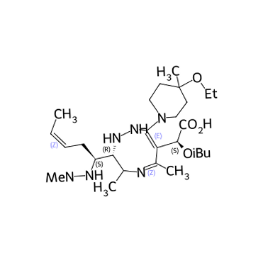 C/C=C\C[C@H](NNC)[C@@H]1NN/C(N2CCC(C)(OCC)CC2)=C([C@H](OCC(C)C)C(=O)O)\C(C)=N/C1C